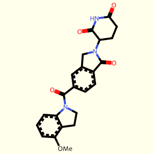 COc1cccc2c1CCN2C(=O)c1ccc2c(c1)CN(C1CCC(=O)NC1=O)C2=O